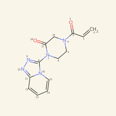 C=CC(=O)N1CCN(c2nnc3ccccn23)C(=O)C1